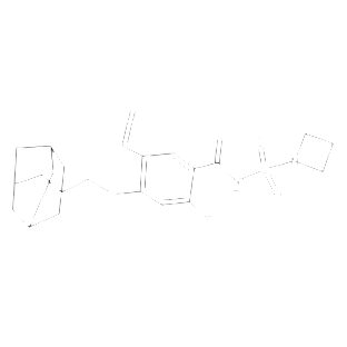 C=Cc1cc(C(=O)NS(=O)(=O)N2CCC2)c(F)cc1OCC12CC3CC(CC(C3)C1)C2